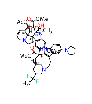 CC[C@]12C=CCN3CC[C@@]4(c5cc([C@@]6(C(=O)OC)C[C@H]7CC(C(C)(F)F)CN(CCc8c6[nH]c6ccc(N9CCCC9)cc86)C7)c(OC)cc5N(C)[C@H]4[C@@](O)(C(=O)OC)[C@@H]1OC(C)=O)[C@@H]32